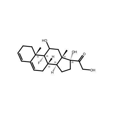 C[C@]12CCC=CC1=CC[C@H]1[C@@H]3CC[C@](O)(C(=O)CO)[C@@]3(C)CC(O)[C@@]12F